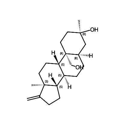 C=C1CC[C@H]2[C@@H]3CC[C@@H]4C[C@](C)(O)CC[C@]4(CO)[C@H]3CC[C@]12C